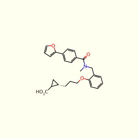 CN(Cc1ccccc1OCCC[C@H]1CC1C(=O)O)C(=O)c1ccc(-c2ccco2)cc1